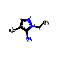 CCn1ncc(C)c1N